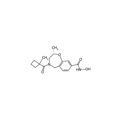 C[C@H]1CN(C(=O)C2(C)CCC2)Cc2ccc(C(=O)NO)cc2O1